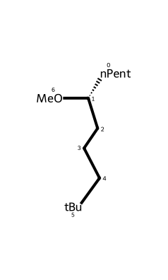 CCCCC[C@H](CCCC(C)(C)C)OC